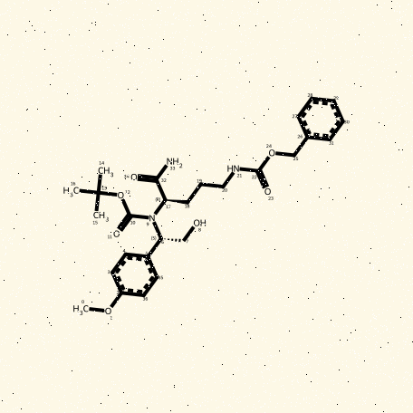 COc1ccc([C@@H](CO)N(C(=O)OC(C)(C)C)[C@H](CCCNC(=O)OCc2ccccc2)C(N)=O)cc1